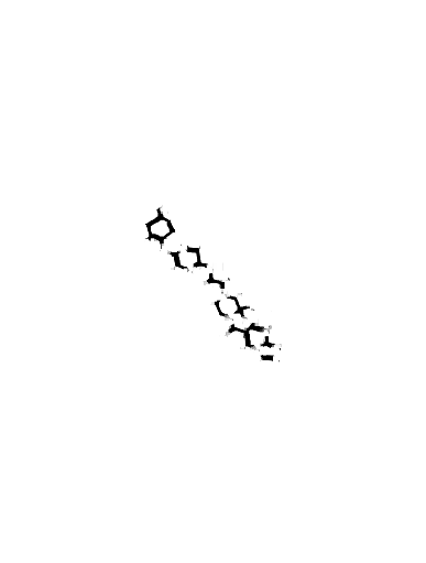 C[C@@H](C(=O)Nc1cnc(Oc2ccc(F)cc2F)cn1)N1CCN(C(=O)c2cnc3nncn3c2)C(C)(C)C1